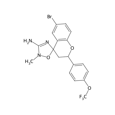 CN1OC2(CC(c3ccc(OC(F)(F)F)cc3)Oc3ccc(Br)cc32)N=C1N